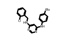 CC(C)(C)c1ccc(Nc2cc(NCc3ccccc3Cl)ncn2)cc1